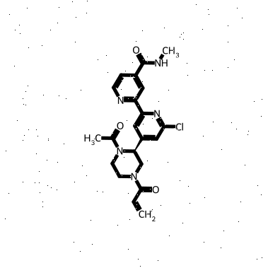 C=CC(=O)N1CCN(C(C)=O)[C@@H](c2cc(Cl)nc(-c3cc(C(=O)NC)ccn3)c2)C1